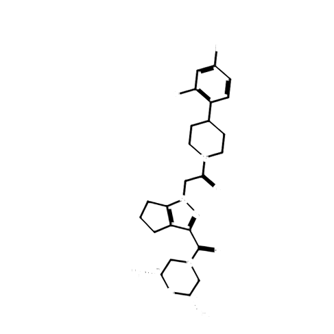 C[C@@H]1CN(C(=O)c2nn(CC(=O)N3CCC(c4ccc(F)cc4Cl)CC3)c3c2CCC3)C[C@H](C)O1